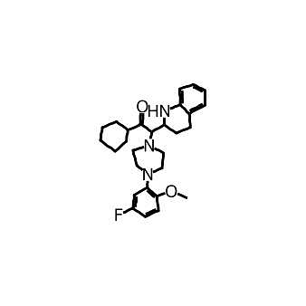 COc1ccc(F)cc1N1CCN(C(C(=O)C2CCCCC2)C2CCc3ccccc3N2)CC1